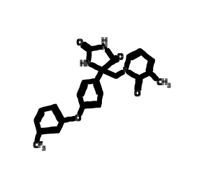 Cc1cccn(CC2(c3ccc(Oc4cccc(C(F)(F)F)c4)cc3)NC(=O)NC2=O)c1=O